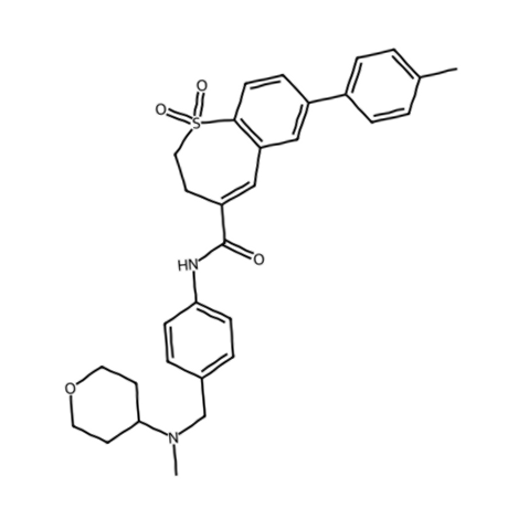 Cc1ccc(-c2ccc3c(c2)C=C(C(=O)Nc2ccc(CN(C)C4CCOCC4)cc2)CCS3(=O)=O)cc1